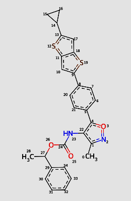 Cc1noc(-c2ccc(-c3cc4sc(C5CC5)cc4s3)cc2)c1NC(=O)OC(C)c1ccccc1